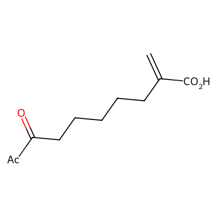 C=C(CCCCCC(=O)C(C)=O)C(=O)O